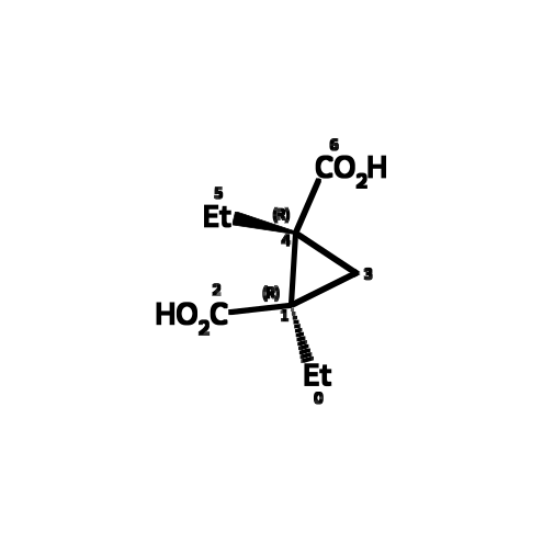 CC[C@@]1(C(=O)O)C[C@@]1(CC)C(=O)O